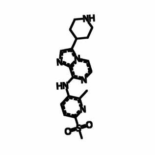 Cc1nc(S(C)(=O)=O)ccc1Nc1nccn2c(C3CCNCC3)cnc12